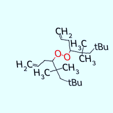 C=CCC(OOC(CC=C)C(C)(C)CC(C)(C)C)C(C)(C)CC(C)(C)C